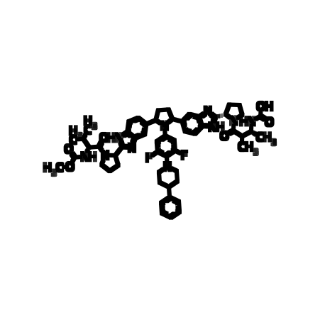 COC(=O)N[C@H](C(=O)N1CCCC1c1nc2cc(C3CCC(c4ccc5[nH]c([C@@H]6CCCN6C(=O)C(C)[C@H](C)NC(=O)O)nc5c4)N3c3cc(F)c(N4CCC(c5ccccc5)CC4)c(F)c3)ccc2[nH]1)C(C)C